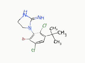 CC(C)(C)c1cc(Cl)c(Br)c(N2CCNC2=N)c1Cl